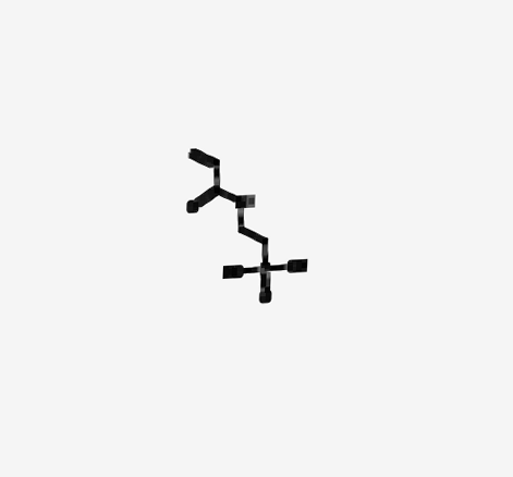 C=CC(=O)NCCP(=O)(O)O